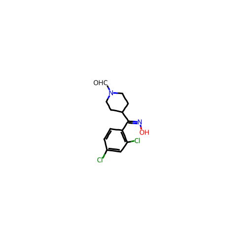 O=CN1CCC(C(=NO)c2ccc(Cl)cc2Cl)CC1